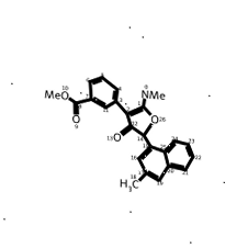 CNC1=C(c2cccc(C(=O)OC)c2)C(=O)C(c2cc(C)cc3ccccc23)O1